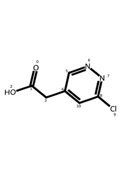 O=C(O)Cc1cnnc(Cl)c1